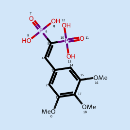 COc1cc(C=C(P(=O)(O)O)P(=O)(O)O)cc(OC)c1OC